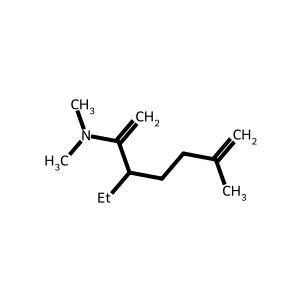 C=C(C)CCC(CC)C(=C)N(C)C